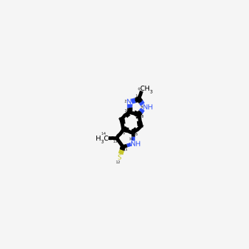 Cc1nc2cc3c(cc2[nH]1)NC(=S)C3C